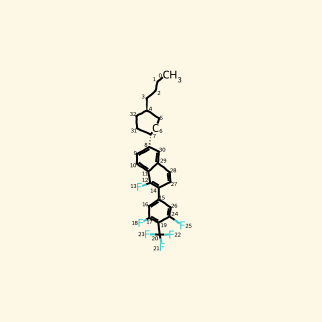 CCCC[C@H]1CC[C@H](c2ccc3c(F)c(-c4cc(F)c(C(F)(F)F)c(F)c4)ccc3c2)CC1